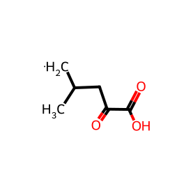 [CH2]C(C)CC(=O)C(=O)O